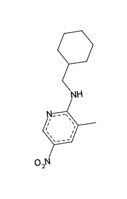 Cc1cc([N+](=O)[O-])cnc1NCC1CCCCC1